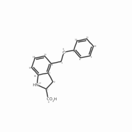 O=C(O)C1Cc2c(COc3ccccc3)cccc2N1